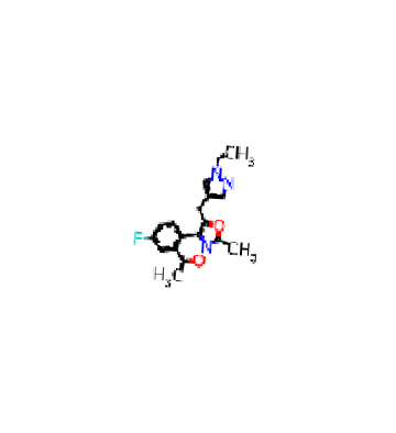 CCn1cc(Cc2oc(C)nc2-c2ccc(F)cc2C(C)=O)cn1